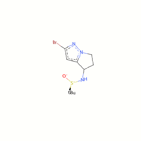 CC(C)(C)[S@@+]([O-])NC1CCn2nc(Br)cc21